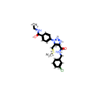 CCNC(=O)c1ccc(-n2nnc(C(=O)NCc3cccc(Cl)c3)c2CSC)cc1